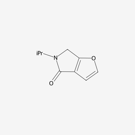 CC(C)N1Cc2occc2C1=O